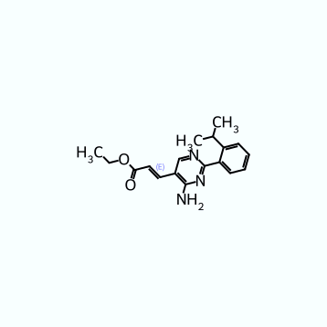 CCOC(=O)/C=C/c1cnc(-c2ccccc2C(C)C)nc1N